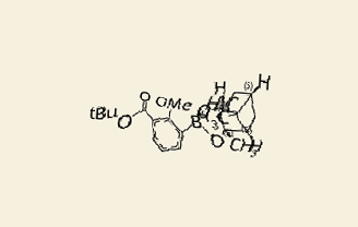 COc1c(B2O[C@@H]3C[C@@H]4C[C@@H](C4(C)C)[C@]3(C)O2)cccc1C(=O)OC(C)(C)C